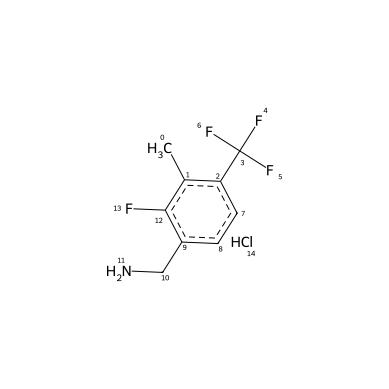 Cc1c(C(F)(F)F)ccc(CN)c1F.Cl